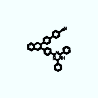 N#Cc1ccc(-c2ccc(C3Cc4ccccc4C=C3c3ccc(C4=NC(c5ccccc5)NC(c5ccccc5)=N4)cc3)cc2)cc1